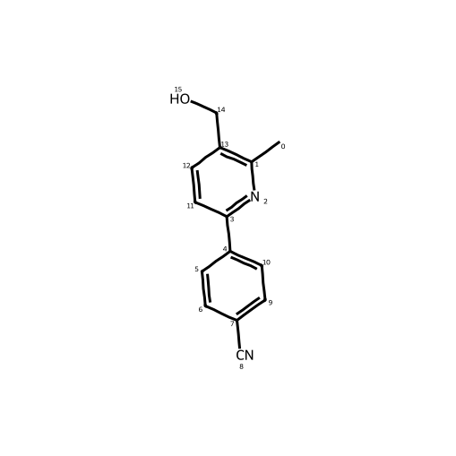 Cc1nc(-c2ccc(C#N)cc2)ccc1CO